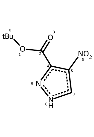 CC(C)(C)OC(=O)c1n[nH]cc1[N+](=O)[O-]